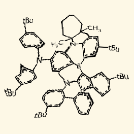 CC(C)(C)c1ccc(N(c2ccc(C(C)(C)C)cc2)c2cc3c4c(c2)N2c5c(cc(C(C)(C)C)cc5C5(C)CCCCC25C)B4c2c(sc4ccc(C(C)(C)C)cc24)N3c2ccc(C(C)(C)C)cc2-c2ccccc2)cc1